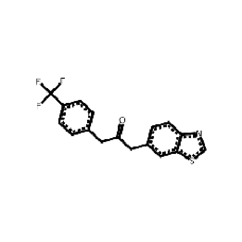 O=C(Cc1ccc(C(F)(F)F)cc1)Cc1ccc2ncsc2c1